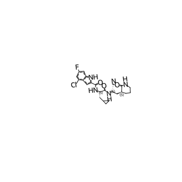 N#C[C@H](C[C@@H]1CCCNC1=O)NC(=O)[C@H](CC1CC1)NC(=O)c1cc2c(Cl)cc(F)cc2[nH]1